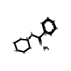 N.O=C(ON1CCOCC1)c1ccccc1